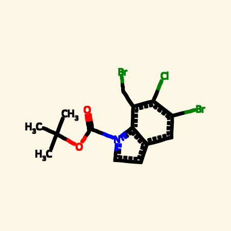 CC(C)(C)OC(=O)n1ccc2cc(Br)c(Cl)c(CBr)c21